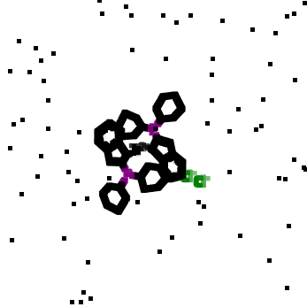 C1=C(P(C2CCCCC2)C2CCCCC2)[CH]([Ti+2][CH]2C(P(C3CCCCC3)C3CCCCC3)=Cc3ccccc32)c2ccccc21.[Cl-].[Cl-]